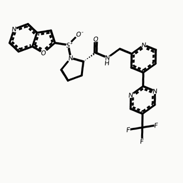 O=C(NCc1cc(-c2ncc(C(F)(F)F)cn2)ccn1)[C@@H]1CCCN1[S+]([O-])c1cc2cnccc2o1